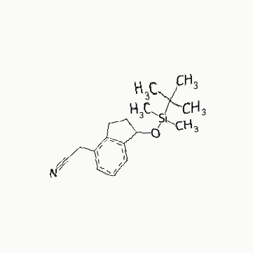 CC(C)(C)[Si](C)(C)OC1CCc2c(CC#N)cccc21